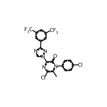 Cc1c(Cl)nc(-n2cnc(-c3cc(C(F)(F)F)cc(C(F)(F)F)c3)n2)c(=O)n1-c1ccc(Cl)cc1